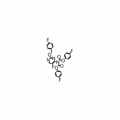 O=C(Oc1ccc(F)cc1)N(C(=O)Oc1ccc(F)cc1)c1nc(OCc2ccc(F)cc2)ncc1F